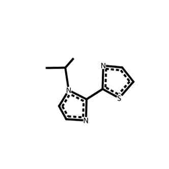 CC(C)n1ccnc1-c1nccs1